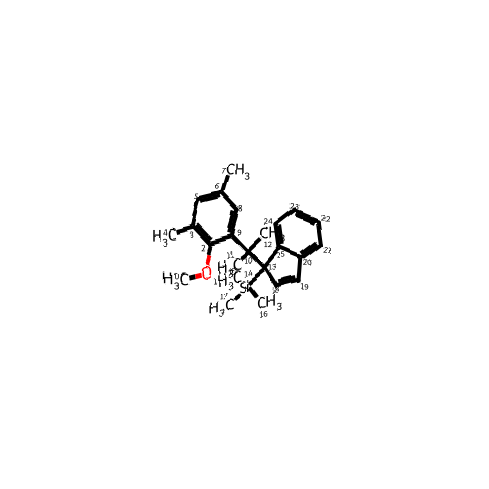 COc1c(C)cc(C)cc1C(C)(C)C1([Si](C)(C)C)C=Cc2ccccc21